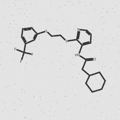 O=C(CC1CCCCC1)Nc1cccnc1SCCSc1cccc(C(F)(F)F)c1